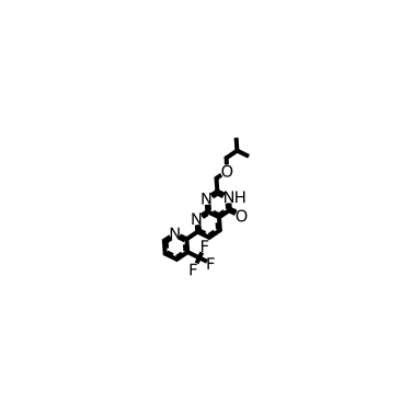 CC(C)COCc1nc2nc(-c3ncccc3C(F)(F)F)ccc2c(=O)[nH]1